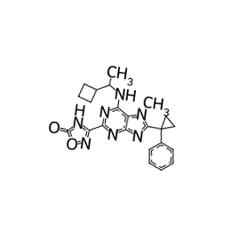 CC(Nc1nc(-c2noc(=O)[nH]2)nc2nc(C3(c4ccccc4)CC3)n(C)c12)C1CCC1